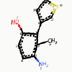 Cc1c(N)ccc(O)c1-c1ccsc1